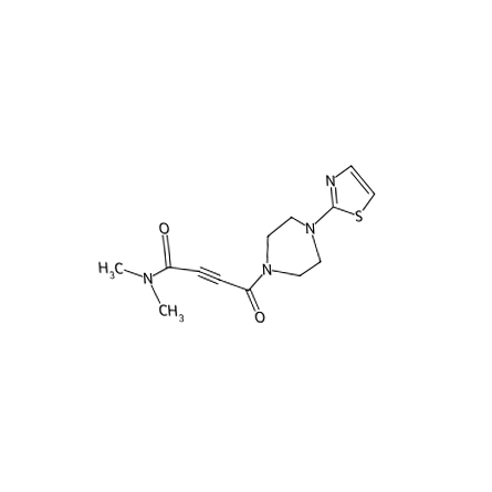 CN(C)C(=O)C#CC(=O)N1CCN(c2nccs2)CC1